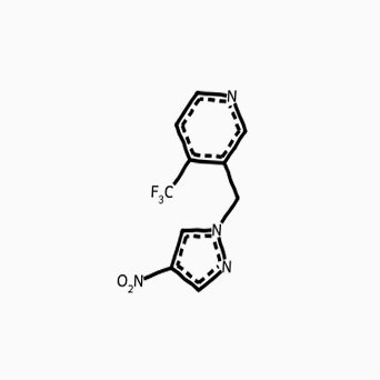 O=[N+]([O-])c1cnn(Cc2cnccc2C(F)(F)F)c1